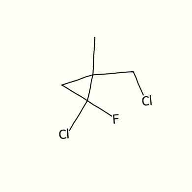 CC1(CCl)CC1(F)Cl